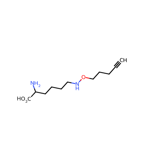 C#CCCCONCCCCC(N)C(=O)O